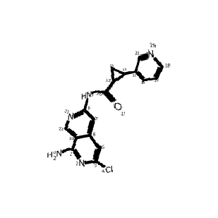 Nc1nc(Cl)cc2cc(NC(=O)C3CC3c3cccnc3)ncc12